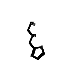 CCNCc1nccs1